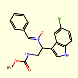 CC(C)(C)OC(=O)NCC(c1c[nH]c2ccc(Br)cc12)/[N+]([O-])=C/c1ccccc1